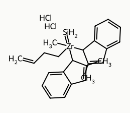 C=CC[CH2][Zr]([CH3])(=[SiH2])([CH]1C(C)=Cc2ccccc21)[CH]1C(C)=Cc2ccccc21.Cl.Cl